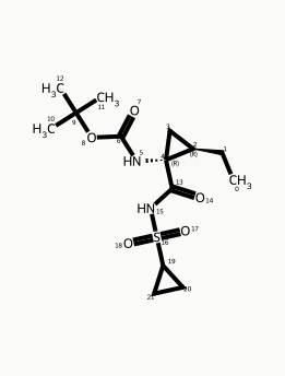 CC[C@@H]1C[C@]1(NC(=O)OC(C)(C)C)C(=O)NS(=O)(=O)C1CC1